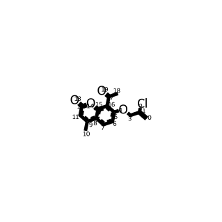 C=C(Cl)COc1ccc2c(C)cc(=O)oc2c1C(C)=O